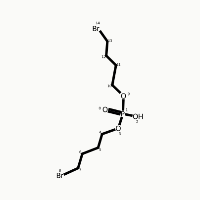 O=P(O)(OCCCCBr)OCCCCBr